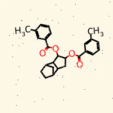 Cc1cccc(C(=O)OC2CC3C4CCC(C4)C3C2OC(=O)c2cccc(C)c2)c1